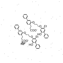 CCc1cc(-c2ccccc2)c(O)cc1OCCCOc1cc(-c2ccccc2)ccc1CCC(=O)[O-].CCc1cc(-c2ccccc2)c(O)cc1OCCCOc1cc(-c2ccccc2)ccc1CCC(=O)[O-].[Na+].[Na+]